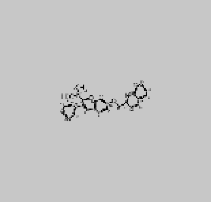 CN(C)C(=O)C(=Cc1ccc(OCc2ccc3ccccc3n2)cc1)c1ccnnc1